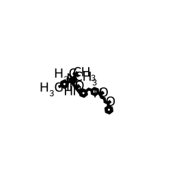 Cc1ccc(-n2nc(C(C)(C)C)cc2NC(=O)Nc2cccc(CC3CCN(C(=O)CCCC(=O)c4ccccc4)CC3)c2)cc1